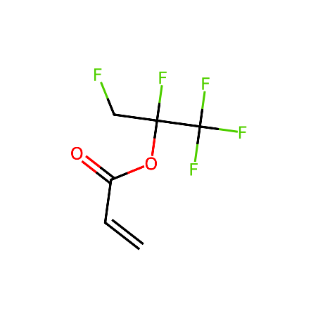 C=CC(=O)OC(F)(CF)C(F)(F)F